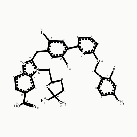 Cc1ccc(COc2cccc(-c3cc(F)c(Cc4nc5ccc(C(=O)O)cc5n4CC4CCC(C)(C)O4)cc3F)n2)c(F)c1